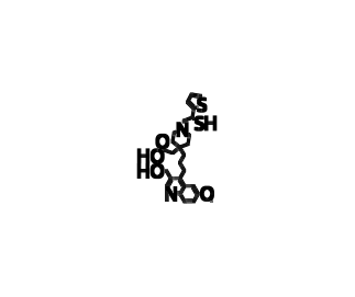 COc1ccc2ncc(CO)c(CCCC3(CC(=O)O)CCN(CC(S)c4cccs4)CC3)c2c1